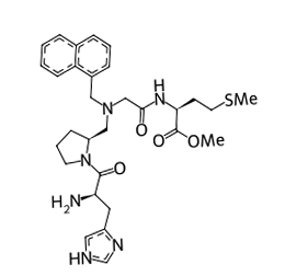 COC(=O)[C@H](CCSC)NC(=O)CN(Cc1cccc2ccccc12)C[C@@H]1CCCN1C(=O)[C@H](N)Cc1c[nH]cn1